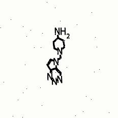 NC1CCN(Cn2ccc3nnncc32)CC1